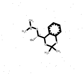 C[SiH](C)O[C@H](C1OC(C)(C)Oc2ccccc21)C(C)(C)C